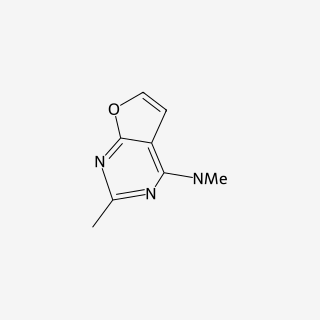 CNc1nc(C)nc2occc12